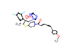 C[C@@H](SC1CCN(C(=O)/C=C/C=C/c2ccc(OC(F)(F)F)cc2)CC1)[C@](O)(Cn1cncn1)c1ccc(F)cc1F